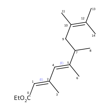 CCOC(=O)/C=C(C)/C=C(\C)C(C)CC(C)=C(C)C